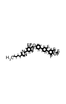 CCCCCc1cnc(-c2cc(F)c(C(F)(F)Oc3ccc(-c4ccc(-c5cc(F)c(OC(F)(F)F)c(F)c5)c(F)c4)cc3)c(F)c2)nc1